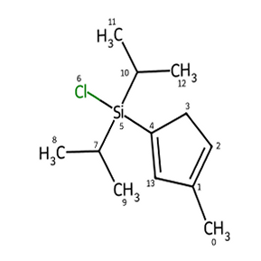 CC1=CCC([Si](Cl)(C(C)C)C(C)C)=C1